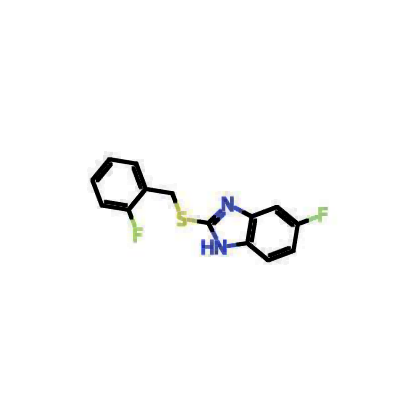 Fc1ccc2[nH]c(SCc3ccccc3F)nc2c1